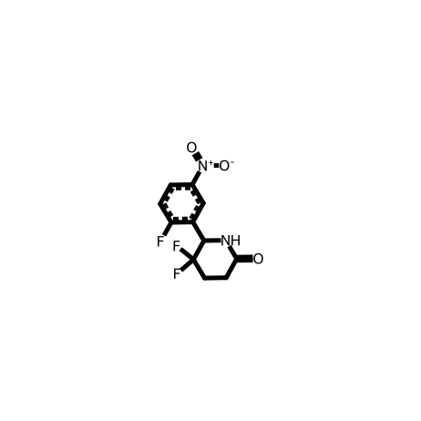 O=C1CCC(F)(F)C(c2cc([N+](=O)[O-])ccc2F)N1